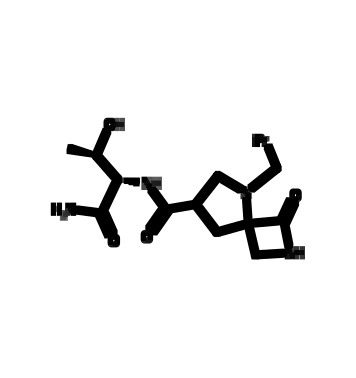 CC(C)CN1CC(C(=O)N[C@H](C(N)=O)[C@@H](C)O)CC12CNC2=O